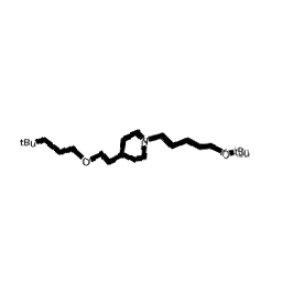 CC(C)(C)CCCOCCC1CCN(CCCCCOC(C)(C)C)CC1